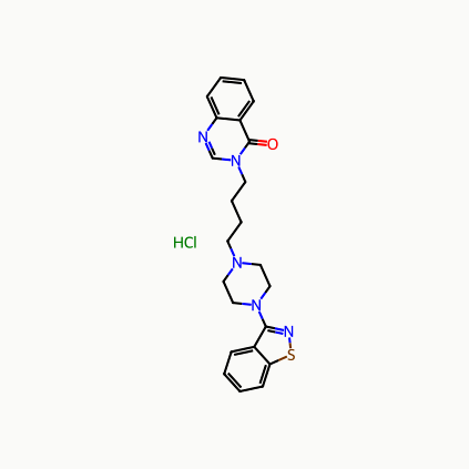 Cl.O=c1c2ccccc2ncn1CCCCN1CCN(c2nsc3ccccc23)CC1